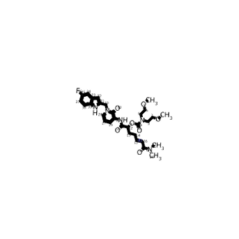 COCCN(CCOC)C(=O)OC(CC/C=C/C(=O)N(C)C)C(=O)Nc1cccn(Cc2cc3cc(F)ccc3[nH]2)c1=O